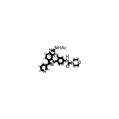 CC(=O)Nc1nc2c(s1)-c1c(c(-c3cccnc3)nn1-c1ccc(NC(=O)N3CCOCC3)cc1Cl)CC2